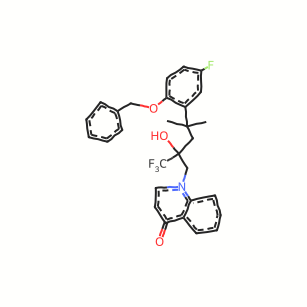 CC(C)(CC(O)(Cn1ccc(=O)c2ccccc21)C(F)(F)F)c1cc(F)ccc1OCc1ccccc1